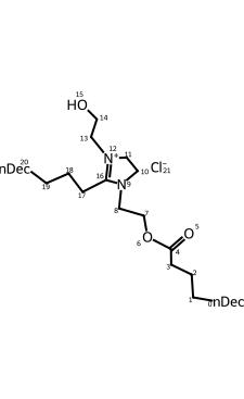 CCCCCCCCCCCCCC(=O)OCCN1CC[N+](CCO)=C1CCCCCCCCCCCCC.[Cl-]